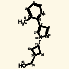 Cc1cccnc1-c1cnn([C@H]2C[C@H](CO)C2)c1